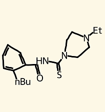 CCCCc1ccccc1C(=O)NC(=S)N1CCN(CC)CC1